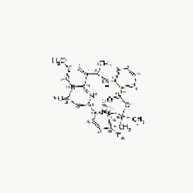 Cc1cc(C(C)Nc2ccccc2C(=O)OC(C)(C)C)c2nc(-c3ccc(F)cc3)cc(=O)n2c1